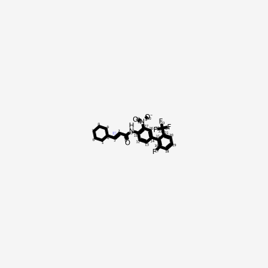 O=C(/C=C/C1CCCCC1)Nc1ccc(-c2c(F)cccc2C(F)(F)F)cc1[N+](=O)[O-]